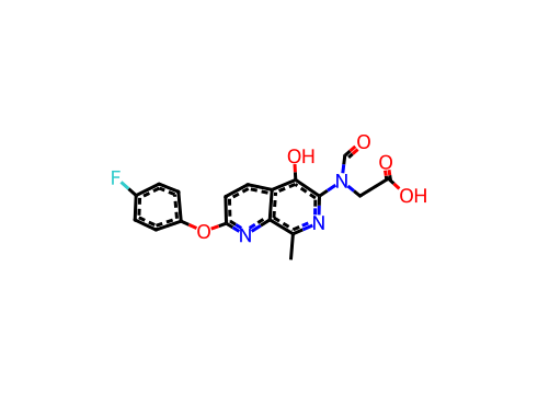 Cc1nc(N(C=O)CC(=O)O)c(O)c2ccc(Oc3ccc(F)cc3)nc12